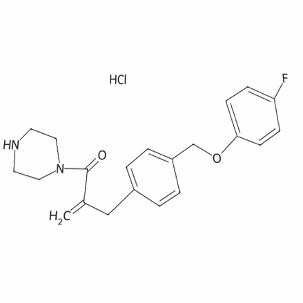 C=C(Cc1ccc(COc2ccc(F)cc2)cc1)C(=O)N1CCNCC1.Cl